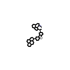 C=C(c1ccc2oc3ccc(-c4ccc5ccc6cccc7ccc4c5c67)cc3c2c1)c1ccc2cccc3cc/c(=C/C)c1c23